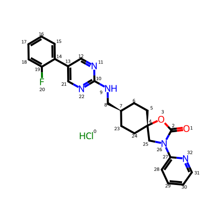 Cl.O=C1O[C@]2(CC[C@H](CNc3ncc(-c4ccccc4F)cn3)CC2)CN1c1ccccn1